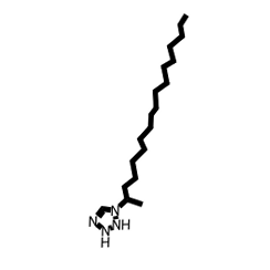 CCCCCCCCCCCCCCCCC(C)N1C=NNN1